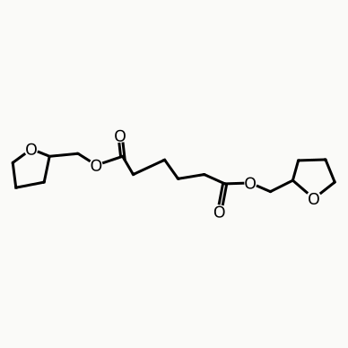 O=C(CCCCC(=O)OCC1CCCO1)OCC1CCCO1